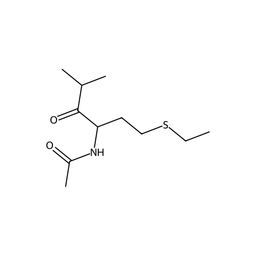 CCSCCC(NC(C)=O)C(=O)C(C)C